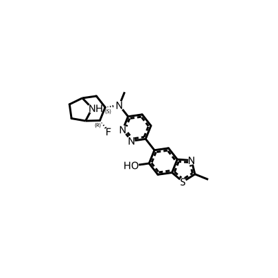 Cc1nc2cc(-c3ccc(N(C)[C@H]4CC5CCC(N5)[C@H]4F)nn3)c(O)cc2s1